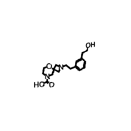 O=C(O)N1CCOC2(CN(CCc3cccc(CCO)c3)C2)C1